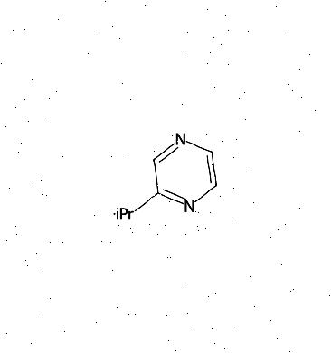 C[C](C)c1cnccn1